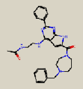 CC(=O)NCCNc1nc(-c2ccccc2)nc2[nH]c(C(=O)N3CCCN(Cc4ccccc4)CC3)cc12